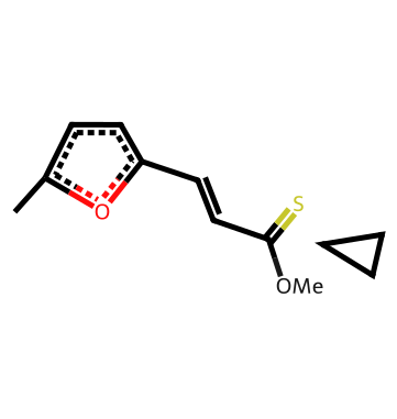 C1CC1.COC(=S)C=Cc1ccc(C)o1